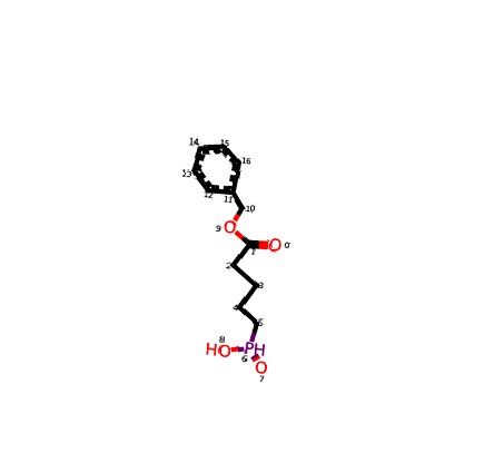 O=C(CCCC[PH](=O)O)OCc1ccccc1